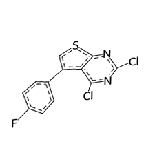 Fc1ccc(-c2csc3nc(Cl)nc(Cl)c23)cc1